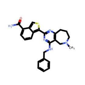 CN1CCCc2nc(-c3scc4c(C(N)=O)cccc34)nc(NCc3ccccc3)c2C1